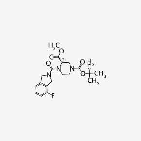 COC(=O)[C@H]1CN(C(=O)OC(C)(C)C)CCN1C(=O)N1Cc2cccc(F)c2C1